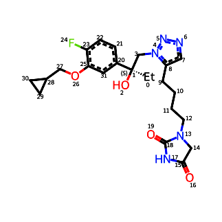 CC[C@@](O)(Cn1nncc1CCCCN1CC(=O)NC1=O)c1ccc(F)c(OCC2CC2)c1